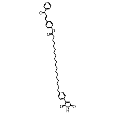 O=C1C=C(c2ccc(CCCCCCCCCCCCCCCCCCC(=O)Oc3ccc(C=CC(=O)c4ccccc4)cc3)cc2)C(=O)N1